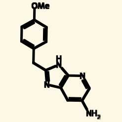 COc1ccc(Cc2nc3cc(N)cnc3[nH]2)cc1